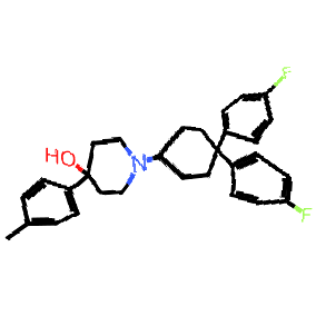 Cc1ccc(C2(O)CCN(C3CCC(c4ccc(F)cc4)(c4ccc(F)cc4)CC3)CC2)cc1